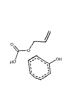 C=CCOC(=O)O.Oc1ccccc1